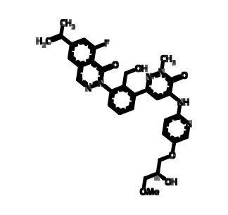 C=C(C)c1cc(F)c2c(=O)n(-c3cccc(-c4cc(Nc5ccc(OC[C@@H](O)COC)cn5)c(=O)n(C)n4)c3CO)ncc2c1